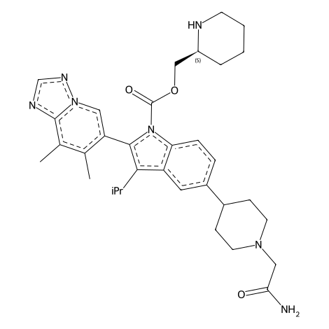 Cc1c(-c2c(C(C)C)c3cc(C4CCN(CC(N)=O)CC4)ccc3n2C(=O)OC[C@@H]2CCCCN2)cn2ncnc2c1C